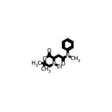 CCN1CC(C)(C)OC(=O)C1CC(=O)N(C)c1ccccc1